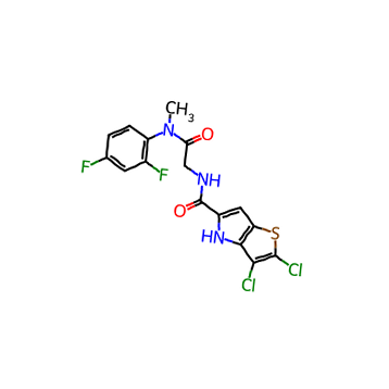 CN(C(=O)CNC(=O)c1cc2sc(Cl)c(Cl)c2[nH]1)c1ccc(F)cc1F